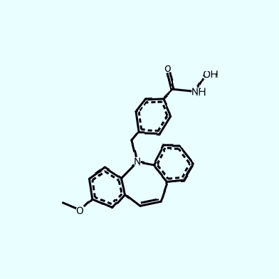 COc1ccc2c(c1)C=Cc1ccccc1N2Cc1ccc(C(=O)NO)cc1